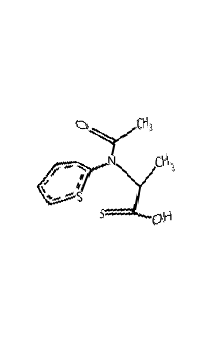 CC(=O)N(c1cccs1)C(C)C(O)=S